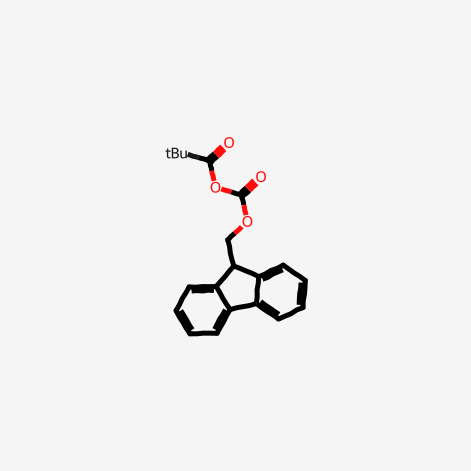 CC(C)(C)C(=O)OC(=O)OCC1c2ccccc2-c2ccccc21